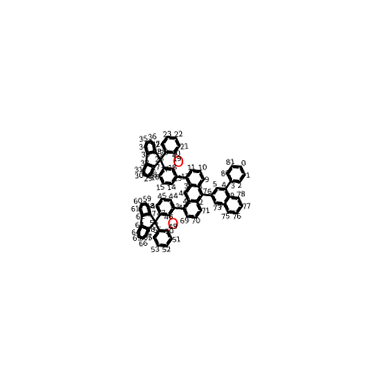 c1ccc(-c2cc(-c3c4cccc(-c5cccc6c5Oc5ccccc5C65c6ccccc6-c6ccccc65)c4cc4c(-c5cccc6c5Oc5ccccc5C65c6ccccc6-c6ccccc65)cccc34)cc3ccccc23)cc1